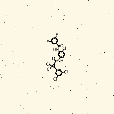 O=C(Nc1cc(NC(=O)C2C(c3cc(Cl)cc(Cl)c3)C2(Cl)Cl)ccc1Cl)c1cc(F)cc(F)c1